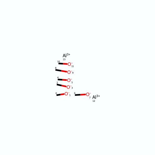 C[O-].C[O-].C[O-].C[O-].C[O-].C[O-].[Al+3].[Al+3]